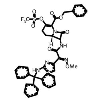 CON=C(C(=O)N[C@@H]1C(=O)N2C(C(=O)OCc3ccccc3)=C(OS(=O)(=O)C(F)(F)F)CC[C@@H]12)c1csc(NC(c2ccccc2)(c2ccccc2)c2ccccc2)n1